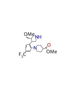 COC[C@H]1CNCC1c1ccc(C(F)(F)F)cc1N1CCC(C(=O)OC)CC1